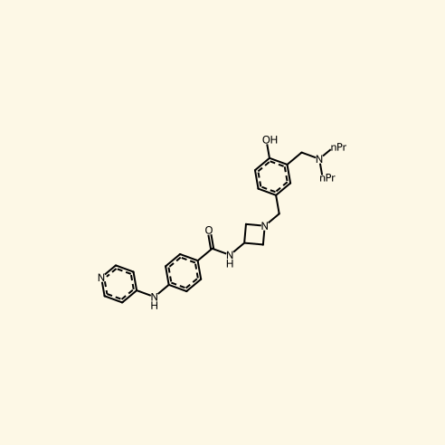 CCCN(CCC)Cc1cc(CN2CC(NC(=O)c3ccc(Nc4ccncc4)cc3)C2)ccc1O